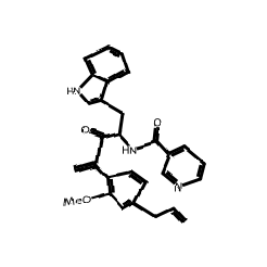 C=CCc1ccc(C(=C)C(=O)C(Cc2c[nH]c3ccccc23)NC(=O)c2cccnc2)c(OC)c1